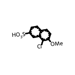 COc1ccc2ccc(S(=O)(=O)O)cc2c1Cl